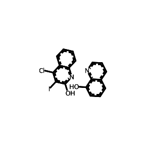 Oc1cccc2cccnc12.Oc1nc2ccccc2c(Cl)c1I